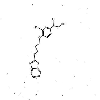 CCCc1cc(C(=O)CO)ccc1OCCCSc1nc2ccccc2s1